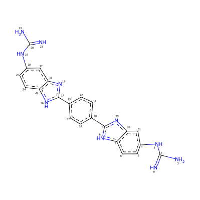 N=C(N)Nc1ccc2[nH]c(-c3ccc(-c4nc5cc(NC(=N)N)ccc5[nH]4)cc3)nc2c1